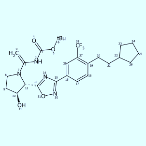 C=C(NC(=O)OC(C)(C)C)N1CC[C@H](O)[C@H]1c1nc(-c2ccc(CCC3CCCC3)c(C(F)(F)F)c2)no1